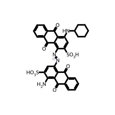 Nc1c(S(=O)(=O)O)cc(/N=N/c2c(S(=O)(=O)O)cc(NC3CCCCC3)c3c2C(=O)c2ccccc2C3=O)c2c1C(=O)c1ccccc1C2=O